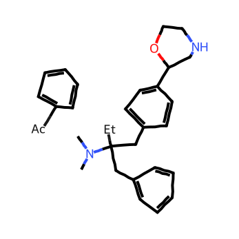 CC(=O)c1ccccc1.CCC(Cc1ccccc1)(Cc1ccc(C2CNCCO2)cc1)N(C)C